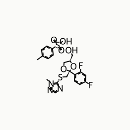 Cc1ccc(S(=O)(=O)O)cc1.Cn1ncnc1SC[C@@]1(c2ccc(F)cc2F)OC[C@@H](CO)O1